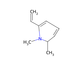 C=CC1=CC=CC(C)N1C